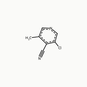 Cc1cncc(Cl)c1C#N